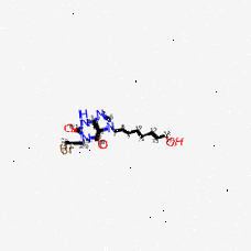 O=c1[nH]c2ncn(CCCCCCCCO)c2c(=O)n1CCBr